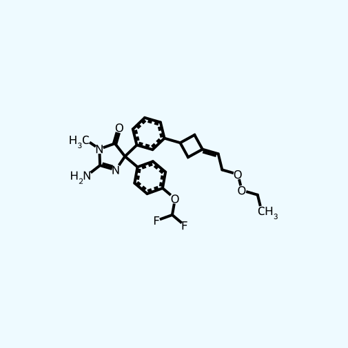 CCOOCC=C1CC(c2cccc(C3(c4ccc(OC(F)F)cc4)N=C(N)N(C)C3=O)c2)C1